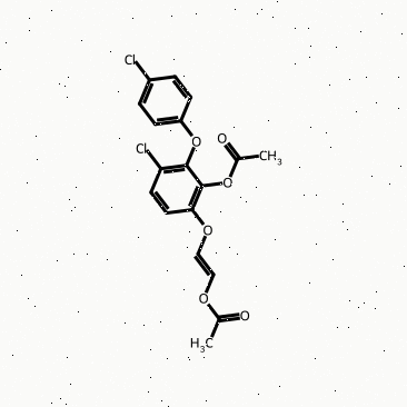 CC(=O)O/C=C/Oc1ccc(Cl)c(Oc2ccc(Cl)cc2)c1OC(C)=O